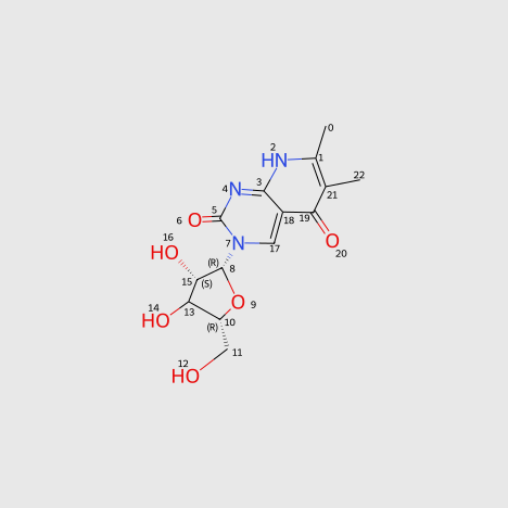 Cc1[nH]c2nc(=O)n([C@@H]3O[C@H](CO)C(O)[C@@H]3O)cc2c(=O)c1C